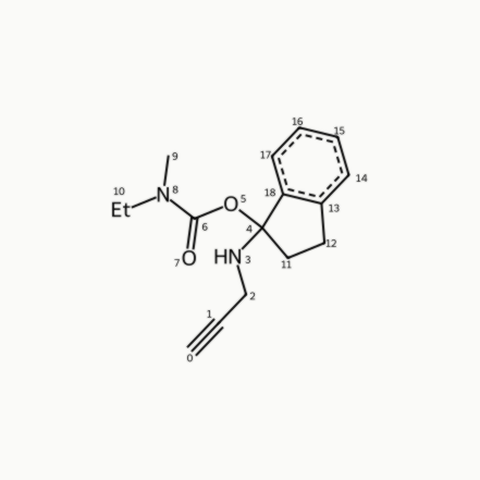 C#CCNC1(OC(=O)N(C)CC)CCc2ccccc21